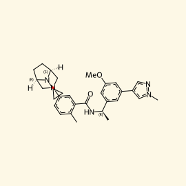 COc1cc(-c2cnn(C)c2)cc([C@@H](C)NC(=O)c2cc(N3C[C@H]4CC[C@@H](C3)N4C3CC3)ccc2C)c1